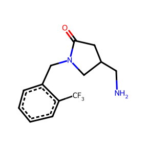 NCC1CC(=O)N(Cc2ccccc2C(F)(F)F)C1